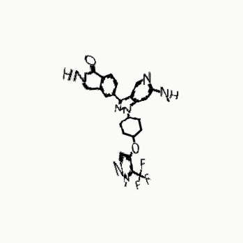 CNc1cc2c(cn1)c(-c1ccc3c(c1)CNC3=O)nn2C1CCC(Oc2cnn(C)c2C(F)(F)F)CC1